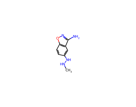 CNNc1ccc2onc(N)c2c1